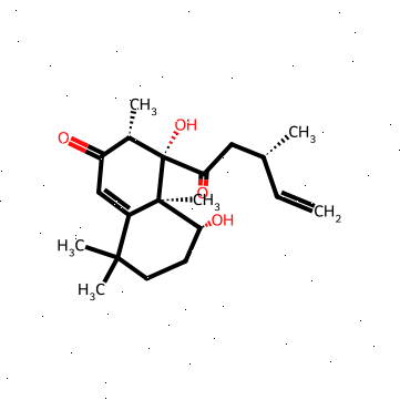 C=C[C@@H](C)CC(=O)[C@]1(O)[C@@H](C)C(=O)C=C2C(C)(C)CC[C@@H](O)[C@@]21C